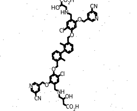 Cc1c(COc2cc(OCc3cncc(C#N)c3)c(CNCC(O)CC(=O)O)cc2Cl)cccc1-c1cccc(COc2cc(OCc3cncc(C#N)c3)c(CNCC(O)C(=O)O)cc2Cl)c1C